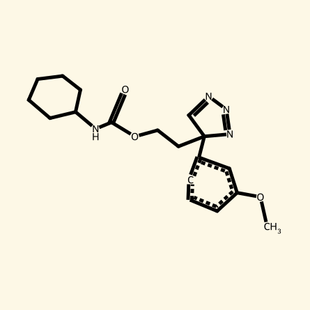 COc1cccc(C2(CCOC(=O)NC3CCCCC3)C=NN=N2)c1